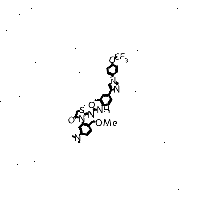 COCc1ccc(N(C)C)cc1N1C(=O)CS/C1=N\C(=O)Nc1ccc(-c2cn(-c3ccc(OC(F)(F)F)cc3)cn2)cc1C